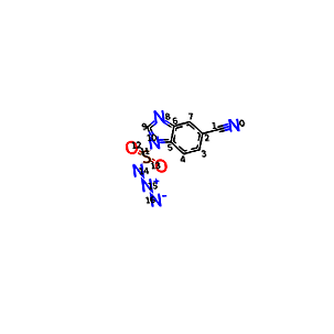 N#Cc1ccc2c(c1)ncn2S(=O)(=O)N=[N+]=[N-]